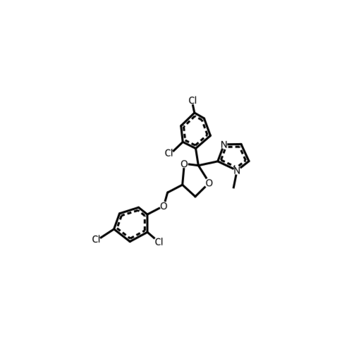 Cn1ccnc1C1(c2ccc(Cl)cc2Cl)OCC(COc2ccc(Cl)cc2Cl)O1